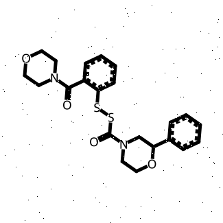 O=C(SSc1ccccc1C(=O)N1CCOCC1)N1CCOC(c2ccccc2)C1